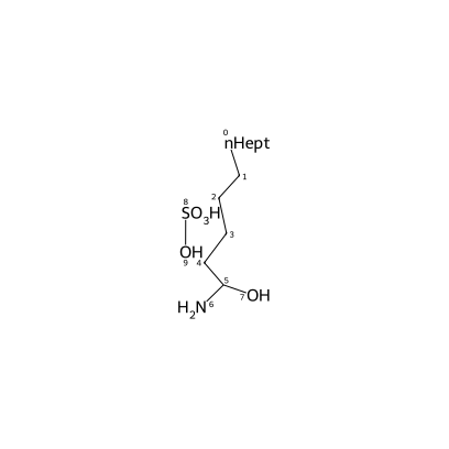 CCCCCCCCCCCC(N)O.O=S(=O)(O)O